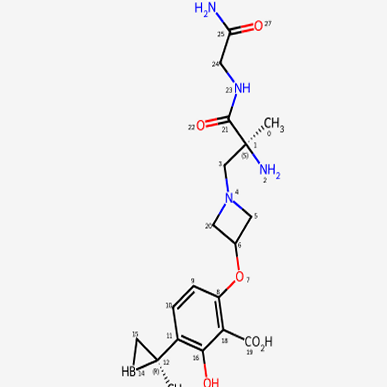 C[C@](N)(CN1CC(Oc2ccc([C@@]3(C)BC3)c(O)c2C(=O)O)C1)C(=O)NCC(N)=O